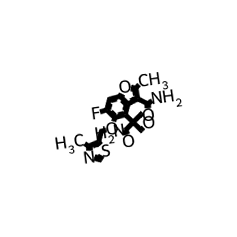 Cc1ncsc1COc1c(F)cc2oc(C)c(C(N)=O)c2c1C1(C(N)=O)COC1